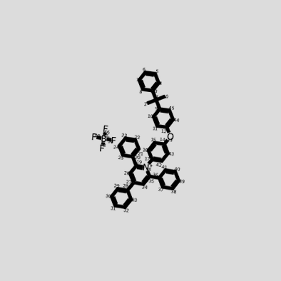 CC(C)(c1ccccc1)c1ccc(Oc2ccc(-[n+]3c(-c4ccccc4)cc(-c4ccccc4)cc3-c3ccccc3)cc2)cc1.F[B-](F)(F)F